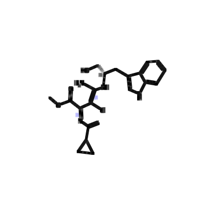 C=C(/N=C(C(=O)OC)\C(Cl)=C(/N)N[C@H](CO)Cc1c[nH]c2ccccc12)C1CC1